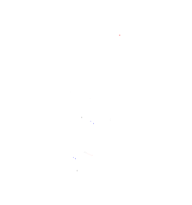 CCCCNC(=O)CCN(C)C(=O)C(CC=O)SCCCCCCO